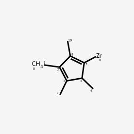 C.CC1=C(C)C(C)[C]([Zr])=C1C